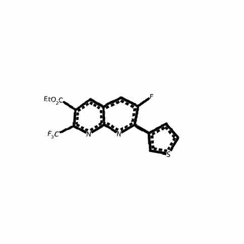 CCOC(=O)c1cc2cc(F)c(-c3ccsc3)nc2nc1C(F)(F)F